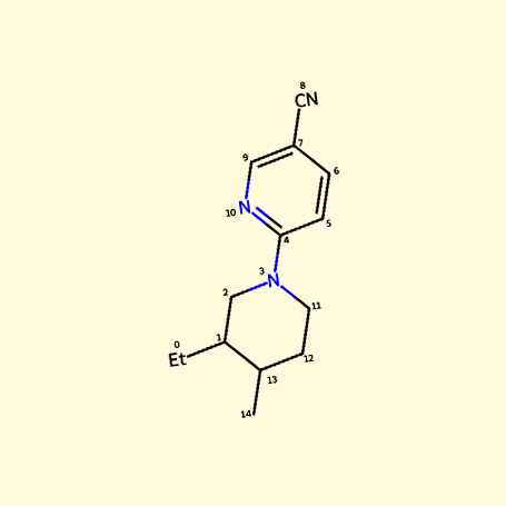 CCC1CN(c2ccc(C#N)cn2)CCC1C